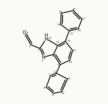 O=Cc1nc2c(-c3ccccc3)ccc(-c3ccccc3)c2[nH]1